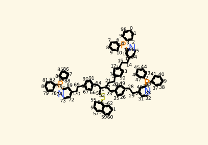 c1ccc(P(c2ccccc2)c2cc(CCc3ccc(CCC(Cc4ccc(CCc5ccnc(P(c6ccccc6)c6ccccc6)c5)cc4)C(CSc4cccc5ccccc45)Cc4ccc(CCc5ccnc(P(c6ccccc6)c6ccccc6)c5)cc4)cc3)ccn2)cc1